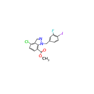 COC(=O)c1ccc(Cl)c2cnn(Cc3ccc(I)c(F)c3)c12